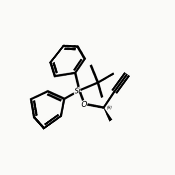 C#C[C@@H](C)O[Si](c1ccccc1)(c1ccccc1)C(C)(C)C